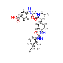 CCCN(CC(=O)Nc1ccc(C(=O)O)cc1)C(=O)Cc1ccc(NC(=O)Nc2cccc(CC)c2CC)cc1